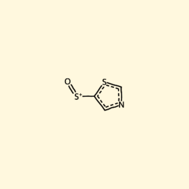 O=[S+]c1cncs1